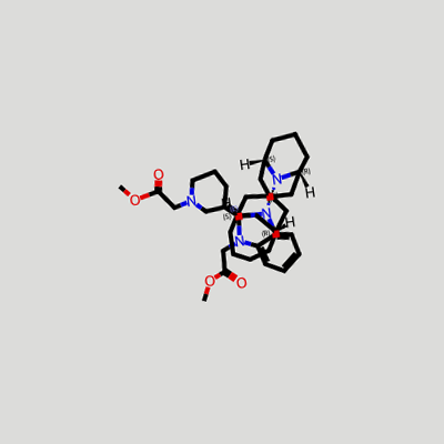 COC(=O)CN1CCC/C(=C2/N(CC(=O)OC)c3ccccc3N2[C@H]2C[C@H]3CCC[C@@H](C2)N3[C@@H]2C[C@@H]3CCCC[C@@H](C3)C2)C1